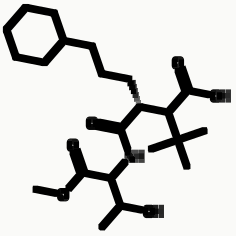 COC(=O)C(NC(=O)[C@H](CCCC1CCCCC1)C(C(=O)O)C(C)(C)C)C(C)O